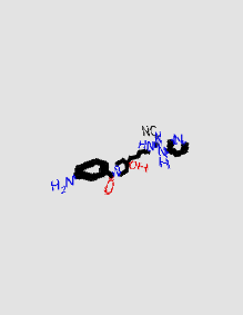 N#C/N=C(\NCCCCC1(O)CCN(C(=O)c2cccc(N)c2)CC1)Nc1cccnc1